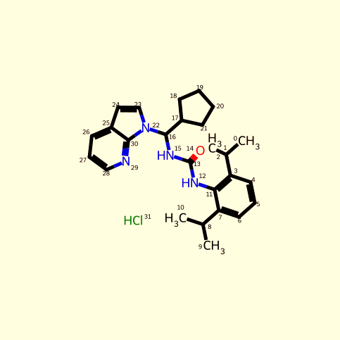 CC(C)c1cccc(C(C)C)c1NC(=O)NC(C1CCCC1)n1ccc2cccnc21.Cl